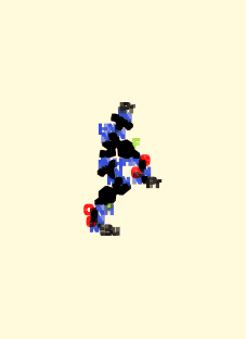 Cc1nn(C(C)C)c(C)c1-c1nc2c(-c3ccc(CNC(=O)c4nc(C(C)C)no4)c(F)c3)c(CC(C)n3nc(C)c(-c4nc5c(-c6ccc(CNC(=O)c7nc(C(C)(C)C)no7)c(F)c6)ccnc5[nH]4)c3C)cnc2[nH]1